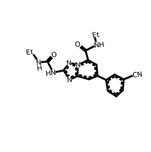 CCNC(=O)Nc1nc2cc(-c3cccc(C#N)c3)cc(C(=O)NCC)n2n1